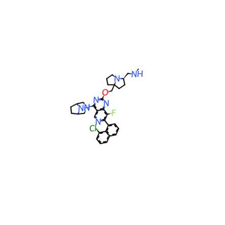 CNC[C@H]1CCC2(COc3nc(N4CC5CCC(C4)N5)c4cnc(-c5cccc6cccc(Cl)c56)c(F)c4n3)CCCN12